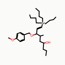 CCC[CH2][Sn]([CH]=CC(OCc1ccc(OC)cc1)C(C)CC(O)CCC)([CH2]CCC)[CH2]CCC